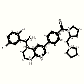 CC(c1cc(F)ccc1F)N1CCNc2ncc(-c3ccc(C(=O)N4CCCC4CN4CCCC4)cc3)cc21